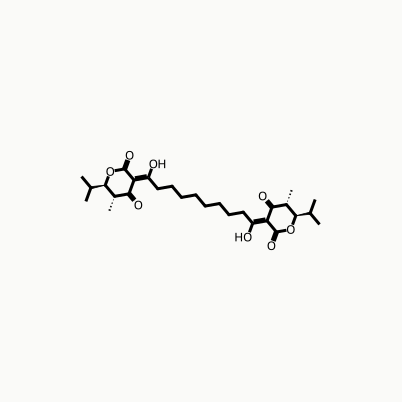 CC(C)[C@H]1OC(=O)C(=C(O)CCCCCCCCC(O)=C2C(=O)O[C@H](C(C)C)[C@@H](C)C2=O)C(=O)[C@@H]1C